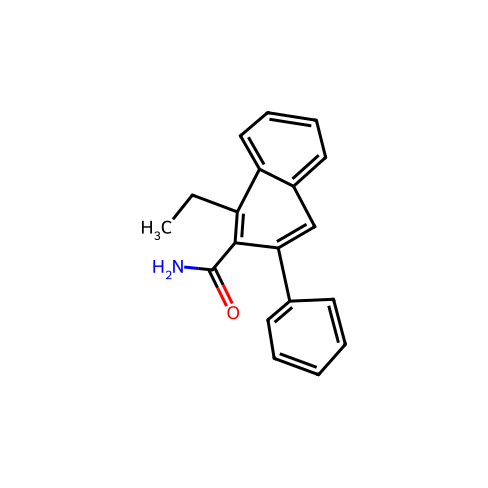 CCc1c(C(N)=O)c(-c2ccccc2)cc2ccccc12